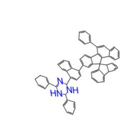 C1=CC2c3ccccc3C3(c4cc(-c5ccc(C6N=C(C7=CCCC=C7)NC(c7ccccc7)N6)c6ccccc56)ccc4-c4c(-c5ccccc5)cc5ccccc5c43)C2C=C1